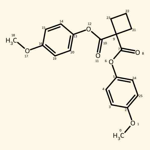 COc1ccc(OC(=O)C2(C(=O)Oc3ccc(OC)cc3)CCC2)cc1